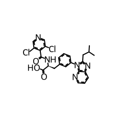 CC(C)Cc1nc2cccnc2n1-c1cccc(C[C@H](NC(=O)c2c(Cl)cncc2Cl)C(=O)O)c1